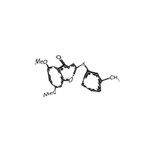 COc1cc(OC)c2c(=O)cc(Sc3cccc(C)c3)oc2c1